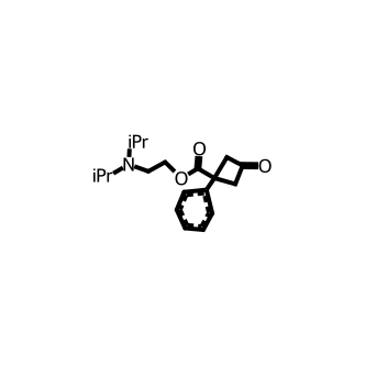 CC(C)N(CCOC(=O)C1(c2ccccc2)CC(=O)C1)C(C)C